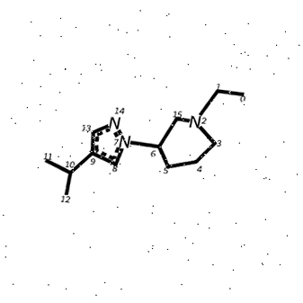 CCN1CCCC(n2cc(C(C)C)cn2)C1